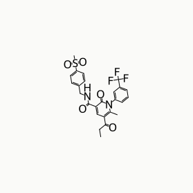 CCC(=O)c1cc(C(=O)NCc2ccc(S(C)(=O)=O)cc2)c(=O)n(-c2cccc(C(F)(F)F)c2)c1C